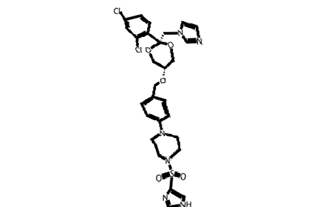 O=S(=O)(c1c[nH]cn1)N1CCN(c2ccc(CO[C@H]3CO[C@](Cn4ccnc4)(c4ccc(Cl)cc4Cl)OC3)cc2)CC1